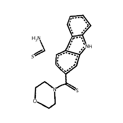 NC=S.S=C(c1ccc2c(c1)[nH]c1ccccc12)N1CCOCC1